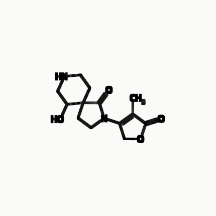 CC1=C(N2CCC3(CCNCC3O)C2=O)COC1=O